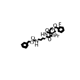 CCCN1C(=O)[C@H](CCCCNC(=O)OCc2ccccc2)NC(=O)C12CCN(C(=O)c1ccccc1F)CC2